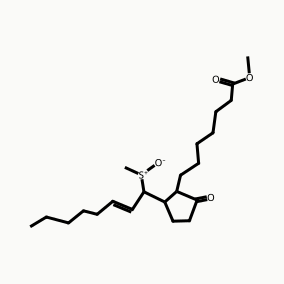 CCCCC/C=C/C(C1CCC(=O)C1CCCCCCC(=O)OC)[S+](C)[O-]